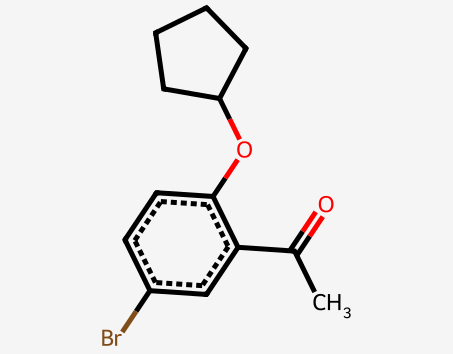 CC(=O)c1cc(Br)ccc1OC1CCCC1